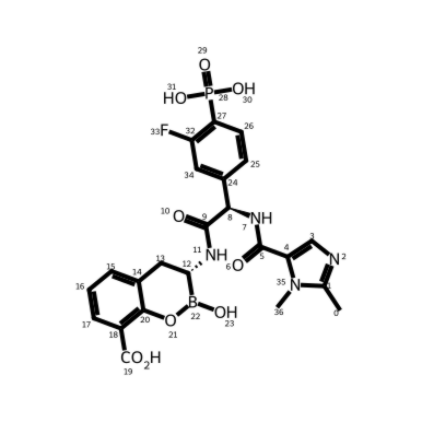 Cc1ncc(C(=O)N[C@@H](C(=O)N[C@H]2Cc3cccc(C(=O)O)c3OB2O)c2ccc(P(=O)(O)O)c(F)c2)n1C